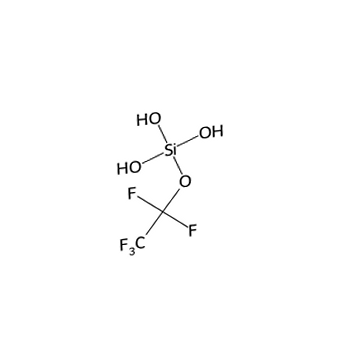 O[Si](O)(O)OC(F)(F)C(F)(F)F